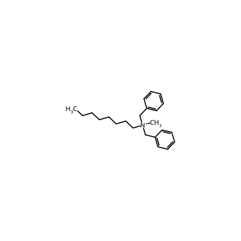 CCCCCCCC[N+](C)(Cc1ccccc1)Cc1ccccc1